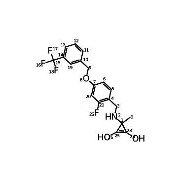 CC1(NCc2ccc(OCc3cccc(C(F)(F)F)c3)cc2F)C(O)=C1O